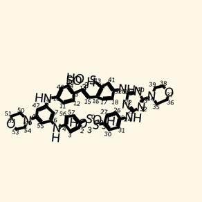 O=S(=O)(O)c1ccc(Nc2cc(Nc3ccc(C=Cc4ccc(Nc5nc(Nc6ccc(S(=O)(=O)O)cc6)nc(N6CCOCC6)n5)cc4S(=O)(=O)O)c(S(=O)(=O)O)c3)cc(N3CCOCC3)c2)cc1